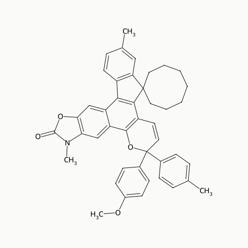 COc1ccc(C2(c3ccc(C)cc3)C=Cc3c4c(c5cc6oc(=O)n(C)c6cc5c3O2)-c2ccc(C)cc2C42CCCCCCC2)cc1